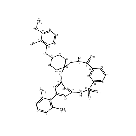 Cc1cccc(C)c1-c1cc2nc(n1)NS(=O)(=O)c1cccc(c1)C(=O)NCC1(CCN(Cc3cccc(OC(F)(F)F)c3F)CC1)O2